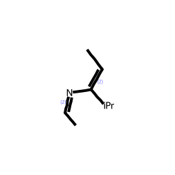 C/C=N\C(=C/C)C(C)C